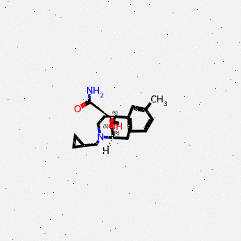 Cc1ccc2c(c1)[C@]13CCN(CC4CC4)[C@H](C2)[C@]1(O)C[C@H](C(N)=O)C3